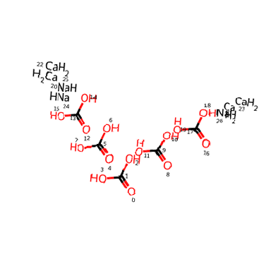 O=C(O)O.O=C(O)O.O=C(O)O.O=C(O)O.O=C(O)O.[CaH2].[CaH2].[CaH2].[CaH2].[NaH].[NaH].[NaH]